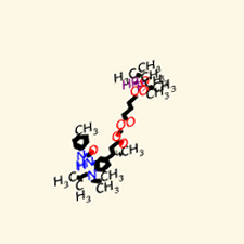 CC[C@@H](CC(=O)OCOC(=O)CCCCOP(=O)(OC(C)(C)C)PC(C)(C)C)c1ccc(N(CC(C)C)CC(C)C)c(NC(=O)Nc2ccc(C)cc2)c1